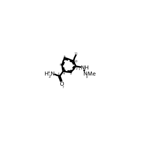 CNNc1cc(C(N)=O)ccc1C